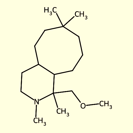 COCC1(C)C2CCCC(C)(C)CCC2CCN1C